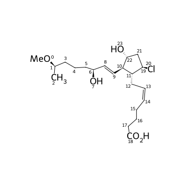 CO[C@H](C)CCC[C@H](O)/C=C/[C@@H]1[C@@H](C/C=C\CCCC(=O)O)[C@H](Cl)C[C@H]1O